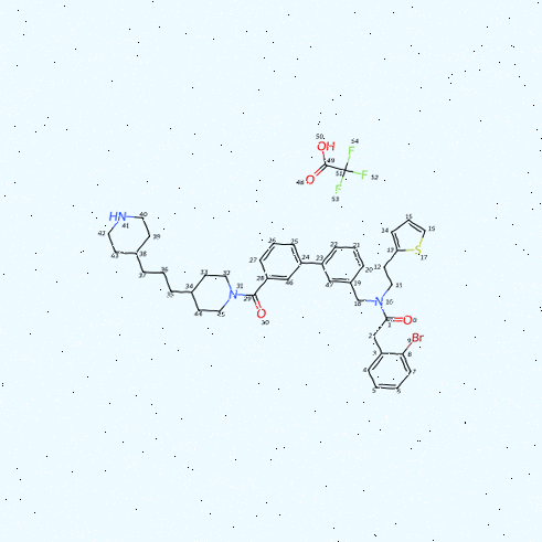 O=C(Cc1ccccc1Br)N(CCc1cccs1)Cc1cccc(-c2cccc(C(=O)N3CCC(CCCC4CCNCC4)CC3)c2)c1.O=C(O)C(F)(F)F